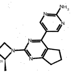 C[C@H]1CCN1c1nc2c(c(-c3cnc(N)nc3)n1)CCC2